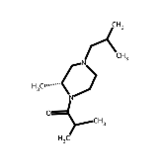 C[C](C)CN1CCN(C(=O)C(C)C)[C@H](C)C1